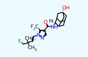 CC(C)(/C=C/n1ncc(C(=O)N[C@H]2C3CC4CC2C[C@](O)(C4)C3)c1C(F)(F)F)CF